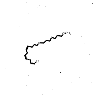 CC/C=C\C/C=C\C/C=C\CCCCCCCCCCCOP